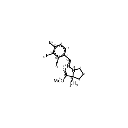 COC(=O)[C@@]1(C)CCCN1/N=C/c1ccc(I)c(F)c1F